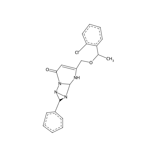 CC(OCC1=CC(=O)N2C(N1)[N@@]1C(c3ccccc3)N21)c1ccccc1Cl